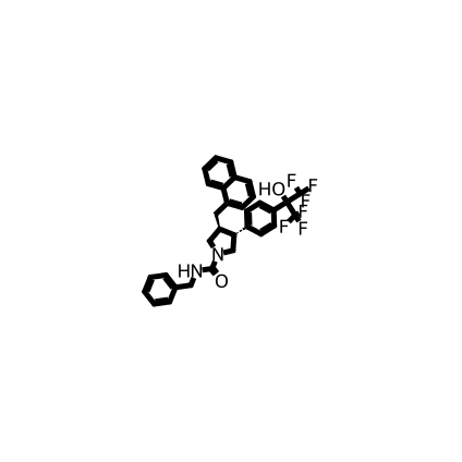 O=C(NCc1ccccc1)N1C[C@@H](Cc2cccc3ccccc23)[C@H](c2ccc(C(O)(C(F)(F)F)C(F)(F)F)cc2)C1